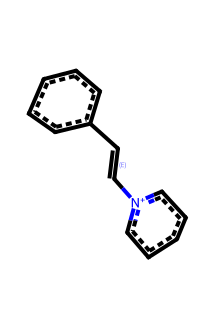 C(=C\[n+]1ccccc1)/c1ccccc1